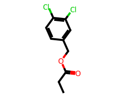 CCC(=O)OCc1ccc(Cl)c(Cl)c1